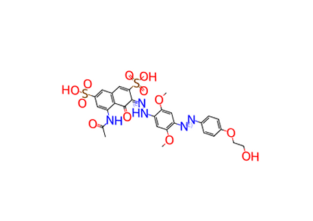 COc1cc(N/N=C2\C(=O)c3c(cc(S(=O)(=O)O)cc3NC(C)=O)C=C2S(=O)(=O)O)c(OC)cc1/N=N/c1ccc(OCCO)cc1